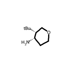 CC(C)(C)[C@@H]1COCC[C@@H]1N